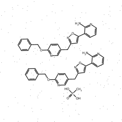 CP(=O)(O)O.Nc1ncccc1-c1cc(Cc2ccc(OCc3ccccc3)nc2)no1.Nc1ncccc1-c1cc(Cc2ccc(OCc3ccccc3)nc2)no1